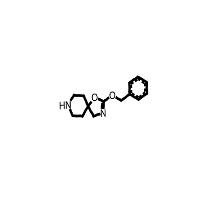 c1ccc(COC2=NCC3(CCNCC3)O2)cc1